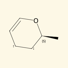 C[C@H]1[C][C]C=CO1